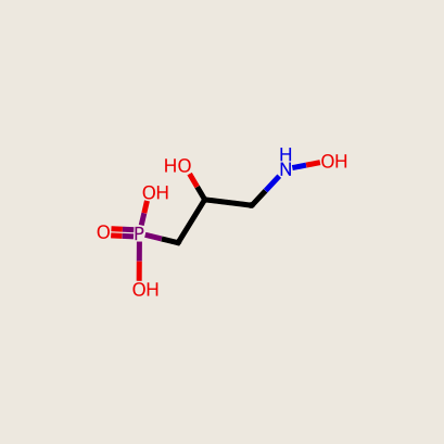 O=P(O)(O)CC(O)CNO